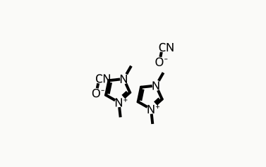 Cn1cc[n+](C)c1.Cn1cc[n+](C)c1.N#C[O-].N#C[O-]